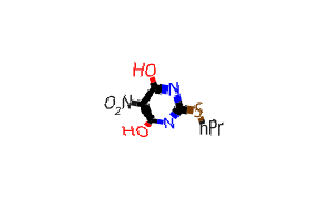 CCCSc1nc(O)c([N+](=O)[O-])c(O)n1